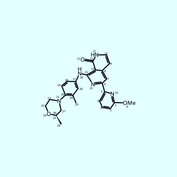 COc1cccc(-c2cc3cc[nH]c(=O)c3c(Nc3ccc(N4CCO[C@H](C)C4)c(C)c3)n2)n1